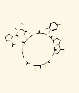 CC[C@H](C)[C@H]1NC(=O)[C@@H](NC(=O)[C@H](CC(C)C)N(C)C(=O)[C@@H]2CCCN2C(=O)C(C)=O)[C@@H](C)OC(=O)[C@H](Cc2ccc(OC)cc2)N(C)C(=O)[C@@H]2CCC3C(C)C[C@H](NC(=O)[C@@H](C)C(=O)[C@H](C(C)C)OC(=O)C[C@@H]1O)C(=O)N32